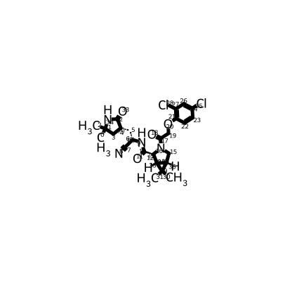 CC1(C)C[C@@H](C[C@@H](C#N)NC(=O)[C@@H]2[C@@H]3[C@H](CN2C(=O)COc2ccc(Cl)cc2Cl)C3(C)C)C(=O)N1